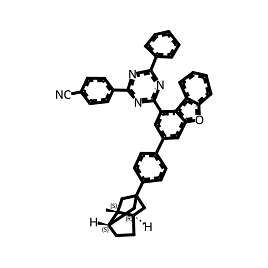 C[C@@]12CC3(c4ccc(-c5cc(-c6nc(-c7ccccc7)nc(-c7ccc(C#N)cc7)n6)c6c(c5)oc5ccccc56)cc4)C[C@H]1CC[C@H]2C3